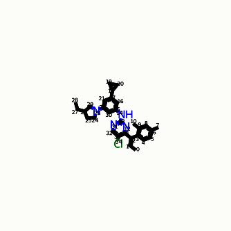 C/C=C(\c1ccc(C)cc1C)c1nc(Nc2cc(C3CC3)cc(N3CCC(CC)C3)c2)ncc1Cl